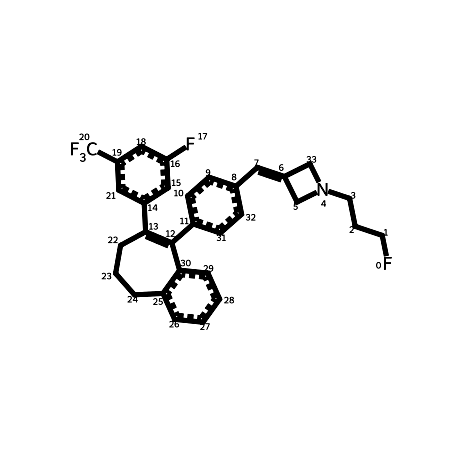 FCCCN1CC(=Cc2ccc(C3=C(c4cc(F)cc(C(F)(F)F)c4)CCCc4ccccc43)cc2)C1